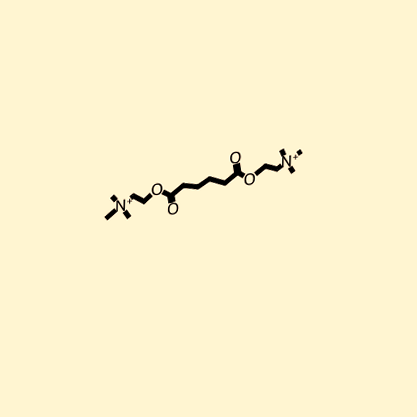 C[N+](C)(C)CCOC(=O)CCCCC(=O)OCC[N+](C)(C)C